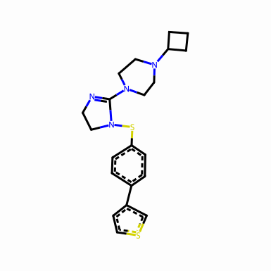 c1cc(-c2ccc(SN3CCN=C3N3CCN(C4CCC4)CC3)cc2)cs1